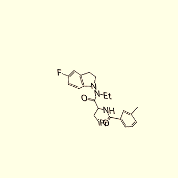 CCN(C(=O)C(CC(C)C)NC(=O)c1cccc(C)c1)N1CCc2cc(F)ccc21